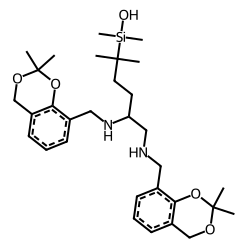 CC1(C)OCc2cccc(CNCC(CCC(C)(C)[Si](C)(C)O)NCc3cccc4c3OC(C)(C)OC4)c2O1